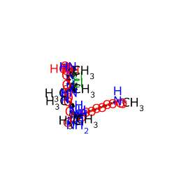 CC(=O)/C=C\C(=O)NCCOCCOCCOCCOCCOCCOCCC(=O)N[C@H](C(=O)N[C@@H](CCCNC(N)=O)C(=O)Nc1ccc(COC(=O)N(C)CCN(C)C(=S)Oc2cc3c(c4c(C)c[nH]c24)[C@H](CCl)CN3C(=O)C23CC(C(=O)N4C[C@@H](CCl)c5c4cc(OP(=O)(O)O)c4[nH]cc(C)c54)(C2)C3)cc1)C(C)C